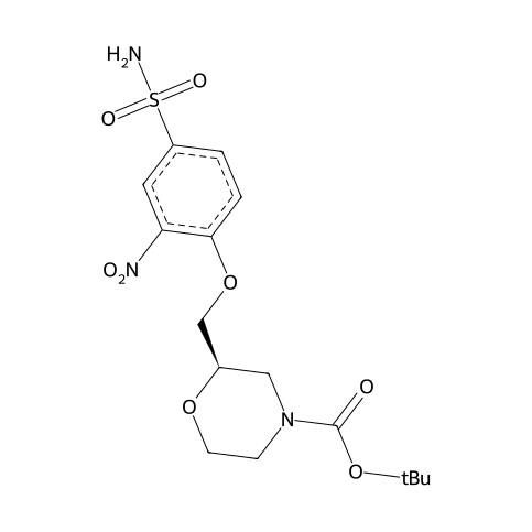 CC(C)(C)OC(=O)N1CCO[C@@H](COc2ccc(S(N)(=O)=O)cc2[N+](=O)[O-])C1